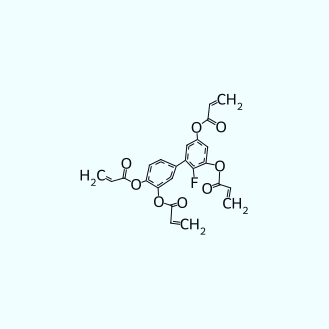 C=CC(=O)Oc1cc(OC(=O)C=C)c(F)c(-c2ccc(OC(=O)C=C)c(OC(=O)C=C)c2)c1